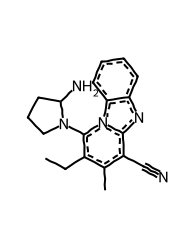 CCc1c(C)c(C#N)c2nc3ccccc3n2c1N1CCCC1N